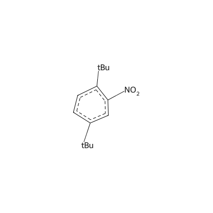 CC(C)(C)c1ccc(C(C)(C)C)c([N+](=O)[O-])c1